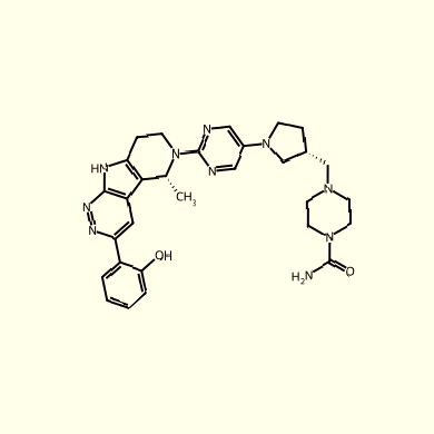 C[C@@H]1c2c([nH]c3nnc(-c4ccccc4O)cc23)CCN1c1ncc(N2CC[C@H](CN3CCN(C(N)=O)CC3)C2)cn1